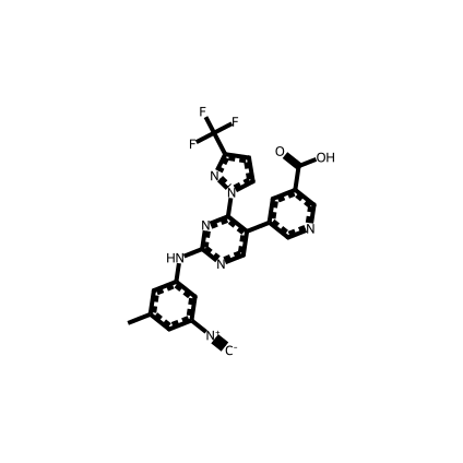 [C-]#[N+]c1cc(C)cc(Nc2ncc(-c3cncc(C(=O)O)c3)c(-n3ccc(C(F)(F)F)n3)n2)c1